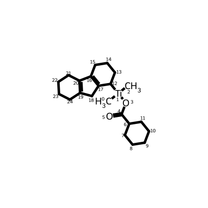 [CH3][Ti]([CH3])([O]C(=O)C1CCCCC1)[CH]1CCCC2=C1CC1=C2CCCC1